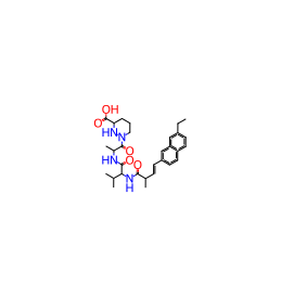 CCc1ccc2ccc(/C=C/C(C)C(=O)NC(C(=O)NC(C)C(=O)N3CCCC(C(=O)O)N3)C(C)C)cc2c1